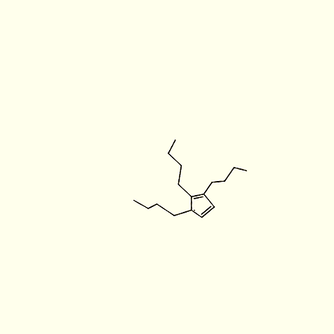 CCCC[C]1C=CC(CCCC)=C1CCCC